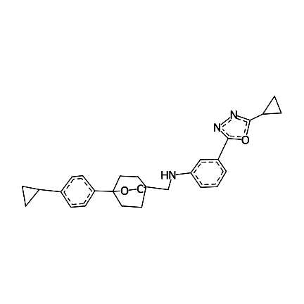 c1cc(NCC23CCC(c4ccc(C5CC5)cc4)(CC2)OC3)cc(-c2nnc(C3CC3)o2)c1